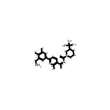 C=C(/N=C(/C)c1ccc(-c2cc(C)c(C)c(CN)c2)nc1C)N1CCCC(C(F)(F)F)C1